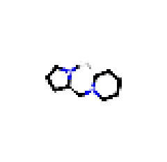 CN1CCC[C@@H]1CN1CCCCC1